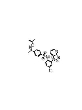 C=C(C)O/N=C(/C)c1ccc(S(=O)(=O)Nc2ccc(Cl)cc2-n2nnc3ncccc32)cc1